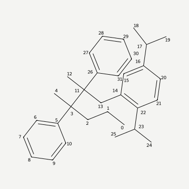 CCCC(C)(c1ccccc1)C(C)(Cc1cc(C(C)C)ccc1C(C)C)c1ccccc1